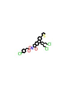 O=C(Cc1ccc(Cl)cc1)O/N=C1\Cc2cc3c(cc2C1=O)C(CCCCCl)(CCCCCl)c1cc(-c2cccs2)ccc1-3